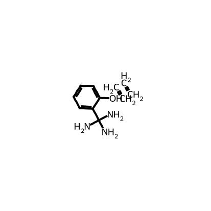 C=C.C=C.NC(N)(N)c1ccccc1O